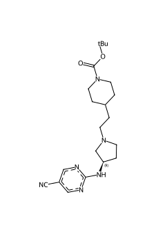 CC(C)(C)OC(=O)N1CCC(CCN2CC[C@@H](Nc3ncc(C#N)cn3)C2)CC1